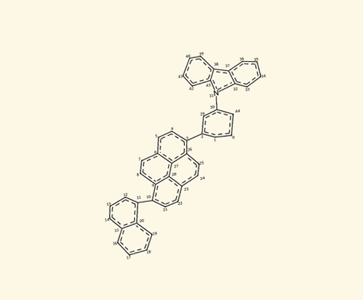 c1cc(-c2ccc3ccc4c(-c5cccc6ccccc56)ccc5ccc2c3c54)cc(-n2c3ccccc3c3ccccc32)c1